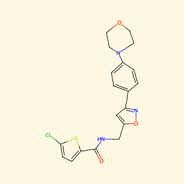 O=C(NCc1cc(-c2ccc(N3CCOCC3)cc2)no1)c1ccc(Cl)s1